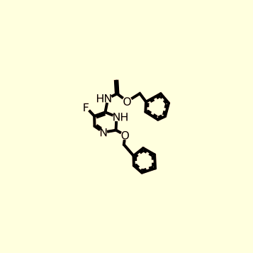 C=C(NC1=C(F)C=NC(OCc2ccccc2)N1)OCc1ccccc1